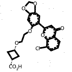 O=c1cc(-c2cc3c(cc2OCCO[C@H]2C[C@@H](C(=O)O)C2)OCO3)oc2c(Cl)cccc12